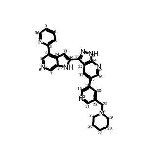 c1ccc(-c2cncc3[nH]c(-c4n[nH]c5ncc(-c6cncc(CN7CCCCC7)c6)cc45)cc23)nc1